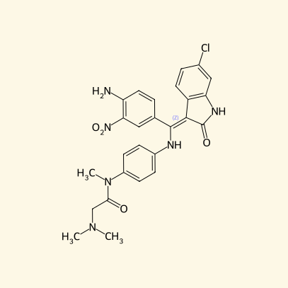 CN(C)CC(=O)N(C)c1ccc(N/C(=C2\C(=O)Nc3cc(Cl)ccc32)c2ccc(N)c([N+](=O)[O-])c2)cc1